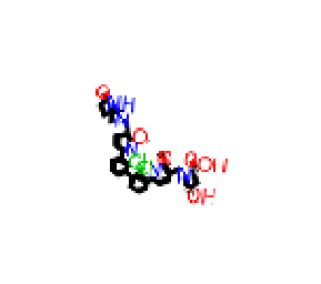 COc1nc(-c2cccc(-c3cccc(-c4ccc(CN5C[C@@H](O)C[C@H]5C(=O)O)c(OC)n4)c3Cl)c2Cl)ccc1CN1CC2(CCC(=O)N2)C1